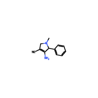 CN1CC(C#N)=C(N)C1c1ccccc1